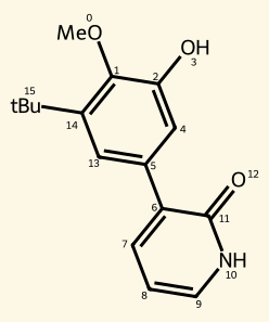 COc1c(O)cc(-c2ccc[nH]c2=O)cc1C(C)(C)C